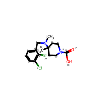 CN(Cc1cccc(Cl)c1Br)C1(C)CCN(C(=O)O)CC1